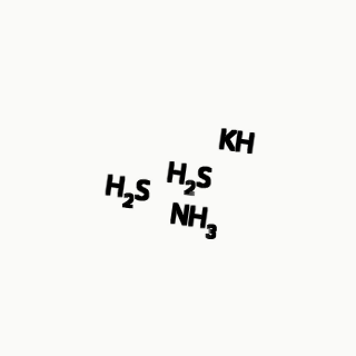 N.S.S.[KH]